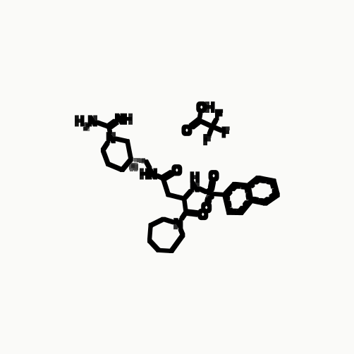 N=C(N)N1CCC[C@@H](CNC(=O)CC(NS(=O)(=O)c2ccc3ccccc3c2)C(=O)N2CCCCCC2)C1.O=C(O)C(F)(F)F